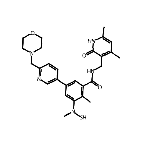 Cc1cc(C)c(CNC(=O)c2cc(-c3ccc(CN4CCOCC4)nc3)cc(N(C)S)c2C)c(=O)[nH]1